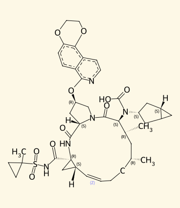 C[C@@H]1CC/C=C\[C@@H]2C[C@@]2(C(=O)NS(=O)(=O)C2(C)CC2)NC(=O)[C@@H]2C[C@@H](Oc3nccc4c5c(ccc34)OCCO5)CN2C(=O)[C@@H](N(C(=O)O)[C@H]2CC3C[C@H]3C2)[C@H](C)C1